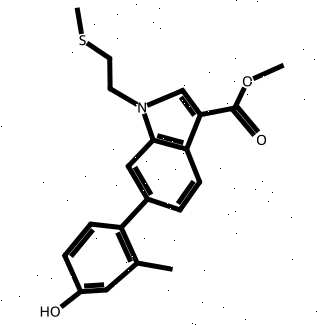 COC(=O)c1cn(CCSC)c2cc(-c3ccc(O)cc3C)ccc12